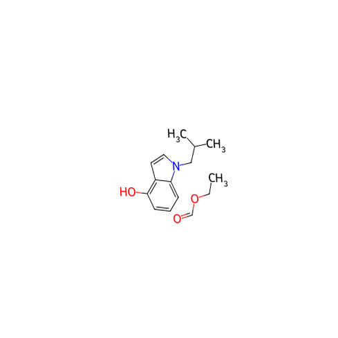 CC(C)Cn1ccc2c(O)cccc21.CCOC=O